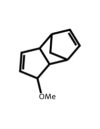 COC1C=CC2C3C=CC(C3)C12